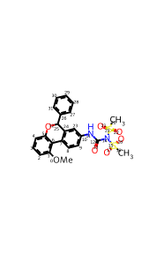 COc1cccc2c1-c1ccc(NC(=O)N(S(C)(=O)=O)S(C)(=O)=O)cc1C(c1ccccc1)O2